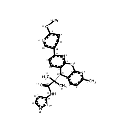 Cc1ccc2c(n1)Oc1nc(-c3ccc(OC(C)C)nc3)ccc1[C@H]2C(C)(C)C(=O)Nc1nncs1